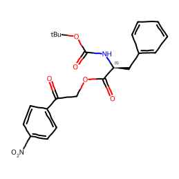 CC(C)(C)OC(=O)N[C@@H](Cc1ccccc1)C(=O)OCC(=O)c1ccc([N+](=O)[O-])cc1